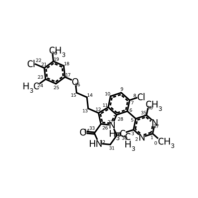 Cc1nc(C)c(-c2c(Cl)ccc3c(CCCOc4cc(C)c(Cl)c(C)c4)c4n(c23)[C@H](C)CNC4=O)c(C)n1